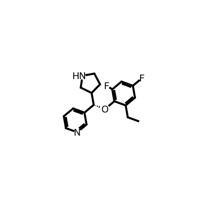 CCc1cc(F)cc(F)c1O[C@H](c1cccnc1)C1CCNC1